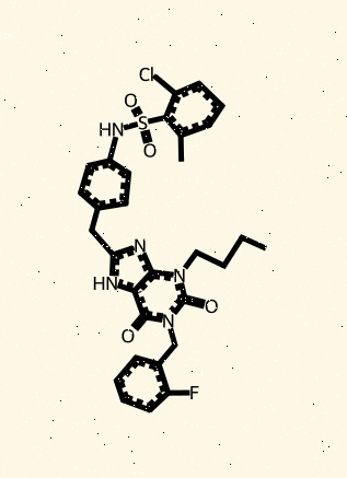 CCCCn1c(=O)n(Cc2ccccc2F)c(=O)c2[nH]c(Cc3ccc(NS(=O)(=O)c4c(C)cccc4Cl)cc3)nc21